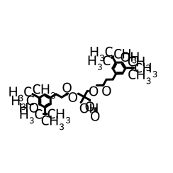 CC(C)(C)c1cc(CCC(=O)COCC(CO)(COC=O)COC(=O)CCc2cc(C(C)(C)C)c(O)c(C(C)(C)C)c2)cc(C(C)(C)C)c1O